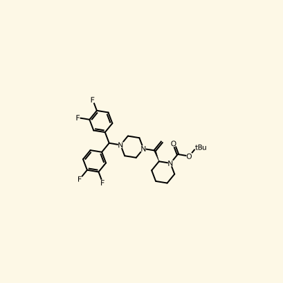 C=C([C@@H]1CCCCN1C(=O)OC(C)(C)C)N1CCN(C(c2ccc(F)c(F)c2)c2ccc(F)c(F)c2)CC1